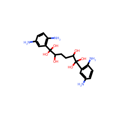 Nc1ccc(N)c(C(O)(O)C(O)CCC(O)C(O)(O)c2cc(N)ccc2N)c1